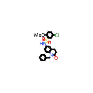 COc1ccc(Cl)cc1S(=O)(=O)Nc1ccc2c(c1)CCC(=O)N2Cc1ccccc1